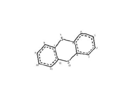 [c]1cccc2c1Sc1ccccc1S2